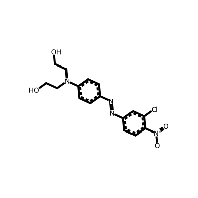 O=[N+]([O-])c1ccc(N=Nc2ccc(N(CCO)CCO)cc2)cc1Cl